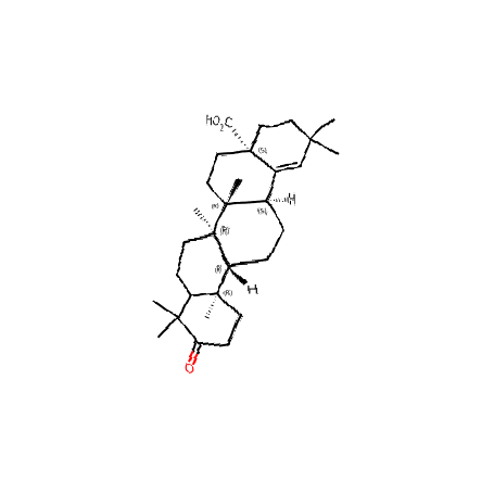 CC1(C)C=C2[C@H]3CC[C@@H]4[C@@]5(C)CCC(=O)C(C)(C)C5CC[C@@]4(C)[C@]3(C)CC[C@@]2(C(=O)O)CC1